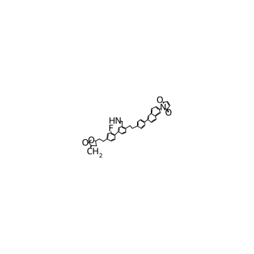 C=C1CC(CCc2ccc(-c3ccc(CCc4ccc(-c5ccc6cc(N7C(=O)C=CC7=O)ccc6c5)cc4)c(C=N)c3)c(F)c2)OC1=O